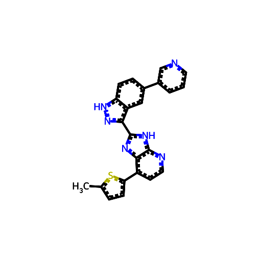 Cc1ccc(-c2ccnc3[nH]c(-c4n[nH]c5ccc(-c6cccnc6)cc45)nc23)s1